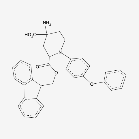 NC1(C(=O)O)CCN(c2ccc(Oc3ccccc3)cc2)C(C(=O)OCC2c3ccccc3-c3ccccc32)C1